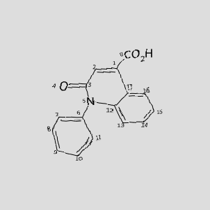 O=C(O)c1cc(=O)n(-c2ccccc2)c2ccccc12